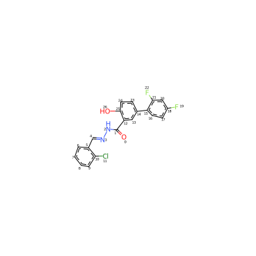 O=C(NN=Cc1ccccc1Cl)c1cc(-c2ccc(F)cc2F)ccc1O